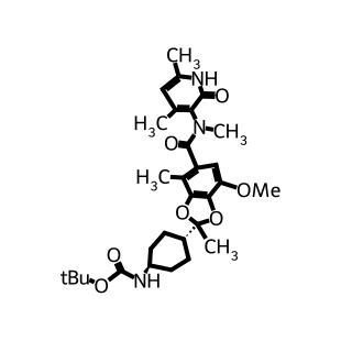 COc1cc(C(=O)N(C)c2c(C)cc(C)[nH]c2=O)c(C)c2c1OC(C)([C@H]1CC[C@H](NC(=O)OC(C)(C)C)CC1)O2